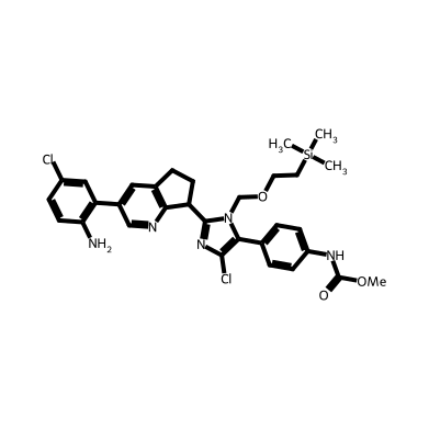 COC(=O)Nc1ccc(-c2c(Cl)nc(C3CCc4cc(-c5cc(Cl)ccc5N)cnc43)n2COCC[Si](C)(C)C)cc1